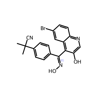 CC(C)(C#N)c1ccc(/C(=N\O)c2c(O)cnc3ccc(Br)cc23)cc1